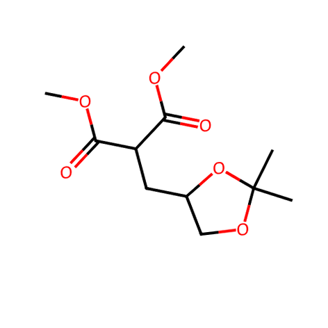 COC(=O)C(CC1COC(C)(C)O1)C(=O)OC